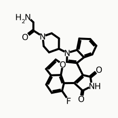 NCC(=O)N1CCC(n2cc(C3=C(c4c(F)ccc5ccoc45)C(=O)NC3=O)c3ccccc32)CC1